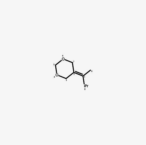 CC(=C1COCOC1)C(C)C